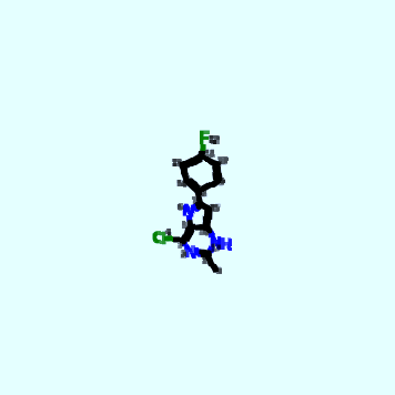 Cc1nc(Cl)c2nc(-c3ccc(F)cc3)cc-2[nH]1